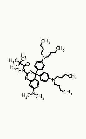 CCCCN(CCCC)c1ccc(C2(c3ccc(N(CCCC)CCCC)cc3)SC(NC(=O)C(C)(C)C)=Nc3cc(N(C)C)ccc32)cc1